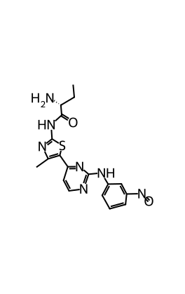 CC[C@@H](N)C(=O)Nc1nc(C)c(-c2ccnc(Nc3cccc(N=O)c3)n2)s1